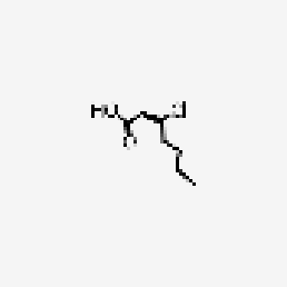 CCCC/C(Cl)=C\C(=O)O